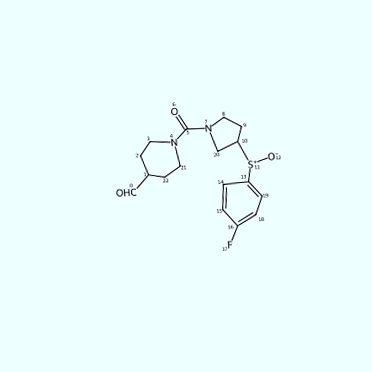 O=CC1CCN(C(=O)N2CCC([S+]([O-])c3ccc(F)cc3)C2)CC1